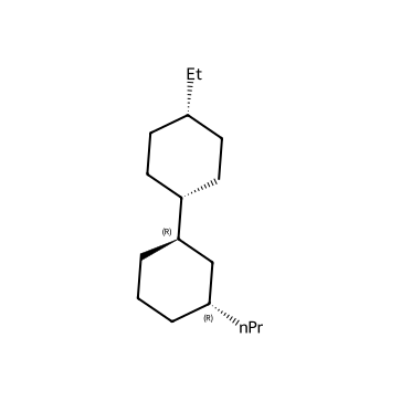 CCC[C@@H]1CCC[C@@H]([C@H]2CC[C@@H](CC)CC2)C1